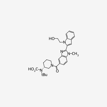 Cn1c(-c2cc3ccccc3n2CCO)nc2cc(C(=O)N3CCC[C@@H](N(C(=O)O)C(C)(C)C)C3)ccc21